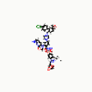 O=C(NS(=O)(=O)c1ccc(NC[C@@H]2COCCO2)c([N+](=O)[O-])c1)c1ccc(N2CCN(CC3=C(c4ccc(Cl)cc4)CC4(CC3)COC4)CC2)cc1N1CCOc2nc3[nH]ccc3cc21